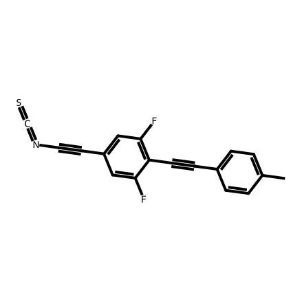 Cc1ccc(C#Cc2c(F)cc(C#CN=C=S)cc2F)cc1